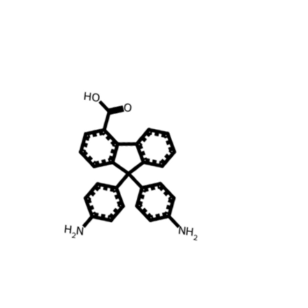 Nc1ccc(C2(c3ccc(N)cc3)c3ccccc3-c3c(C(=O)O)cccc32)cc1